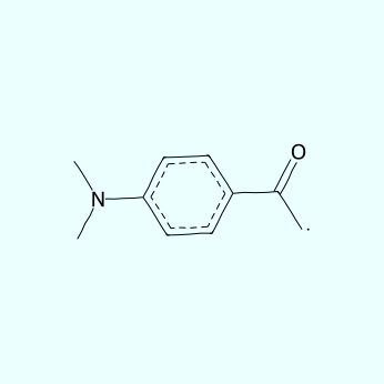 [CH2]C(=O)c1ccc(N(C)C)cc1